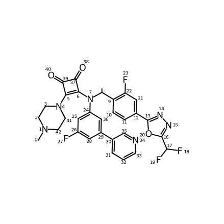 CN1CCN(c2c(N(Cc3ccc(-c4nnc(C(F)F)o4)cc3F)c3cc(F)cc(-c4cccnc4)c3)c(=O)c2=O)CC1